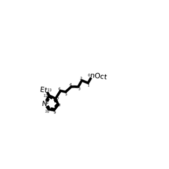 CCCCCCCCCCCCCCc1cccnc1CC